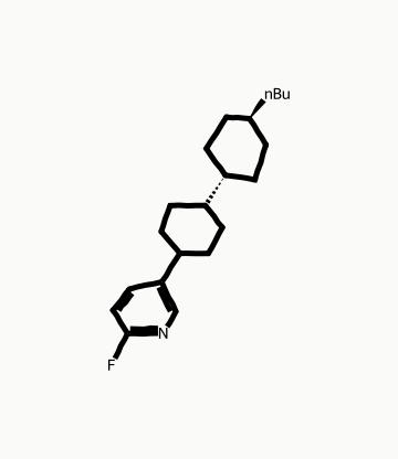 CCCC[C@H]1CC[C@H](C2CCC(c3ccc(F)nc3)CC2)CC1